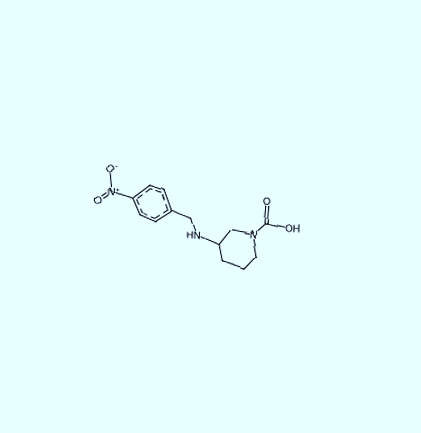 O=C(O)N1CCCC(NCc2ccc([N+](=O)[O-])cc2)C1